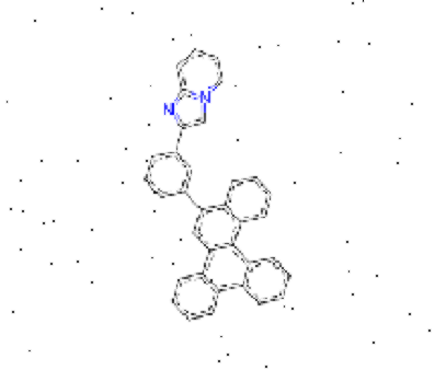 c1cc(-c2cn3ccccc3n2)cc(-c2cc3c4ccccc4c4ccccc4c3c3ccccc23)c1